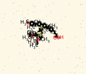 CCC(C)OCC(C)(CC)CSCCCS1(CCCSC(C)(CC)CCOC(C)(C)CC)c2cc(C(C)(CC)c3ccc(CCCC(=O)O)cc3)ccc2-c2ccc(C(C)(CC)c3ccc(OC)cc3)cc21